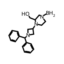 BN1CCN(C2CN(C(c3ccccc3)c3ccccc3)C2)C(CO)C1